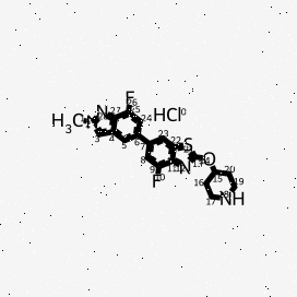 Cl.Cn1cc2cc(-c3cc(F)c4nc(OC5CCNCC5)sc4c3)cc(F)c2n1